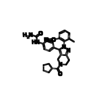 Cc1cccc(OCC(C)C)c1-n1nc2c(c1-c1ccc(NC(N)=O)cc1)CN(C(=O)C1CCCC1)CC2